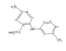 Cc1cc(Nc2cnc(N)cc2C=N)ccn1